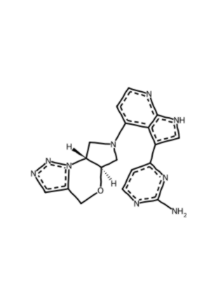 Nc1nccc(-c2c[nH]c3nccc(N4C[C@@H]5[C@@H](C4)OCc4cnnn45)c23)n1